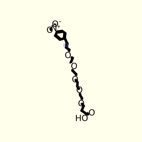 O=C(O)CCOCCOCCOCCOCCOC/C=C/c1ccc([N+](=O)[O-])cc1